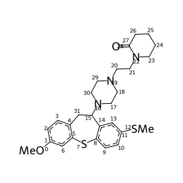 COc1ccc2c(c1)Sc1ccc(SC)cc1C(N1CCN(CCN3CCCCC3=O)CC1)C2